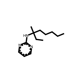 CCCCCC(C)(CC)Nc1ncccn1